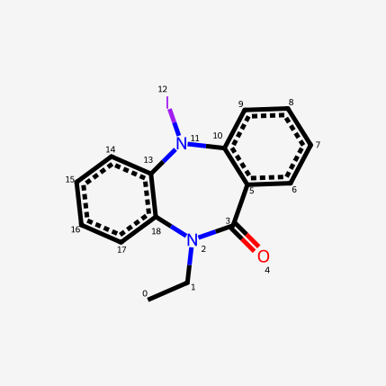 CCN1C(=O)c2ccccc2N(I)c2ccccc21